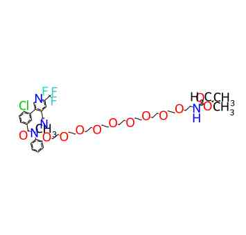 CN(C(=O)c1ccc(Cl)c(-c2cnc(C(F)(F)F)cc2C#N)c1)c1ccccc1OCCOCCOCCOCCOCCOCCOCCOCCOCCNC(=O)OC(C)(C)C